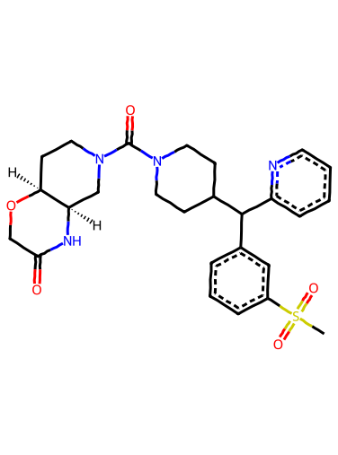 CS(=O)(=O)c1cccc(C(c2ccccn2)C2CCN(C(=O)N3CC[C@@H]4OCC(=O)N[C@@H]4C3)CC2)c1